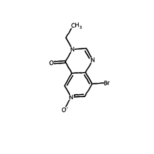 CCn1cnc2c(Br)c[n+]([O-])cc2c1=O